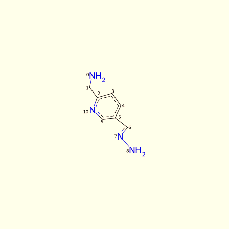 NCc1ccc(C=NN)cn1